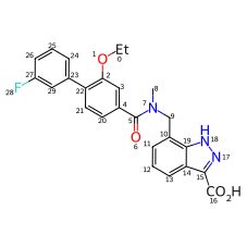 CCOc1cc(C(=O)N(C)Cc2cccc3c(C(=O)O)n[nH]c23)ccc1-c1cccc(F)c1